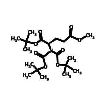 COC(=O)CC[C@H](C(=O)OC(C)(C)C)N(C(=O)OC(C)(C)C)C(=O)OC(C)(C)C